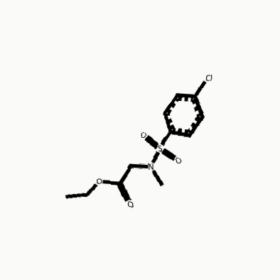 CCOC(=O)CN(C)S(=O)(=O)c1ccc(Cl)cc1